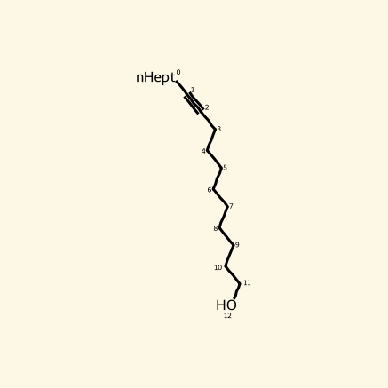 CCCCCCCC#CCCCCCCCCCO